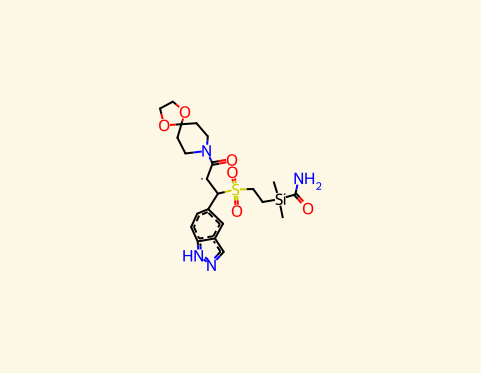 C[Si](C)(CCS(=O)(=O)C([CH]C(=O)N1CCC2(CC1)OCCO2)c1ccc2[nH]ncc2c1)C(N)=O